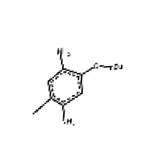 CCCCOc1cc(N)c(C)cc1N